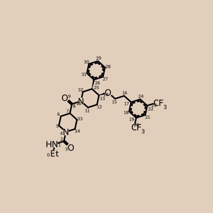 CCNC(=O)N1CCC(C(=O)N2CC[C@H](OCCc3cc(C(F)(F)F)cc(C(F)(F)F)c3)[C@H](c3ccccc3)C2)CC1